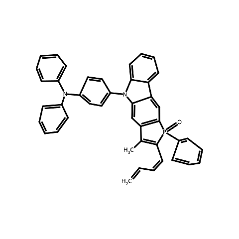 C=C/C=C\C1=C(C)c2cc3c(cc2P1(=O)c1ccccc1)c1ccccc1n3-c1ccc(N(c2ccccc2)c2ccccc2)cc1